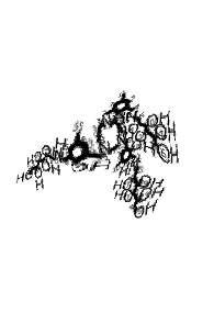 Cc1cc(CNCC(O)C(O)C(O)C(O)CO)c(O)c(CN2CCCN(Cc3cc(C)cc(CNCC(O)C(O)C(O)C(O)CO)c3O)CCN(Cc3cc(C)cc(CNCC(O)C(O)C(O)C(O)CO)c3O)CCC2)c1